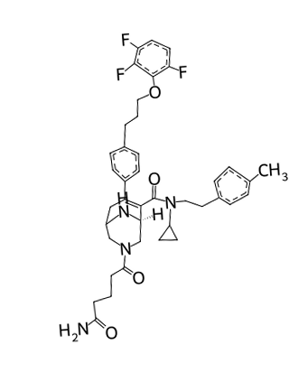 Cc1ccc(CCN(C(=O)C2=C(c3ccc(CCCOc4c(F)ccc(F)c4F)cc3)CC3CN(C(=O)CCCC(N)=O)C[C@H]2N3)C2CC2)cc1